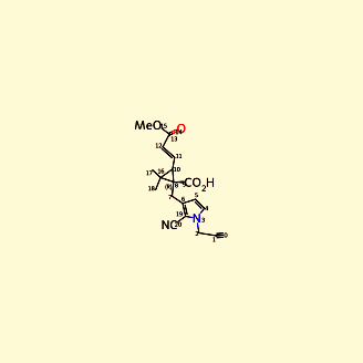 C#CCn1ccc(C[C@@]2(C(=O)O)C(C=CC(=O)OC)C2(C)C)c1C#N